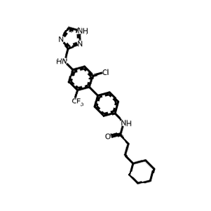 O=C(CCC1CCCCC1)Nc1ccc(-c2c(Cl)cc(Nc3nc[nH]n3)cc2C(F)(F)F)cc1